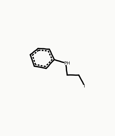 ICCPc1ccccc1